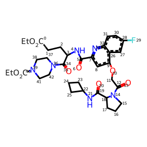 CCOC(=O)CCC(NC(=O)c1cc(OCC(=O)N2CCCC2C(=O)NC2CCC2)c2cc(F)ccc2n1)C(=O)N1CCN(C(=O)OCC)CC1